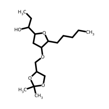 CCCCCC1OC(C(O)CC)CC1OCC1COC(C)(C)O1